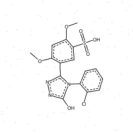 COc1cc(OC)c(S(=O)(=O)O)cc1-c1nnc(O)n1-c1ccccc1Cl